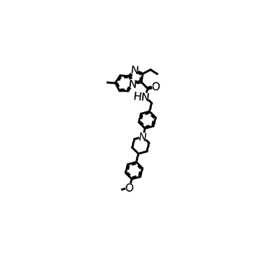 CCc1nc2cc(C)ccn2c1C(=O)NCc1ccc(N2CCC(c3ccc(OC)cc3)CC2)cc1